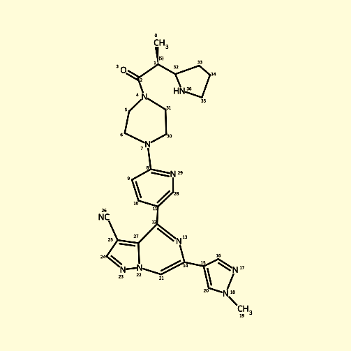 C[C@H](C(=O)N1CCN(c2ccc(-c3nc(-c4cnn(C)c4)cn4ncc(C#N)c34)cn2)CC1)C1CCCN1